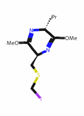 COC1=N[C@H](C(C)C)C(OC)=N[C@H]1CSCI